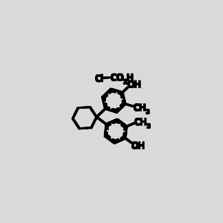 Cc1cc(C2(c3ccc(O)c(C)c3)CCCCC2)ccc1O.O=C(O)Cl